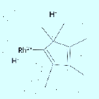 CC1=C(C)C(C)(C)[C]([Rh+2])=C1C.[H-].[H-]